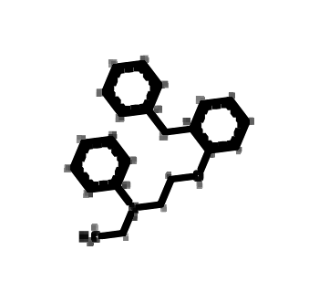 CCN(CCOc1ccccc1Cc1ccccc1)c1ccccc1